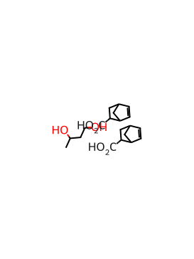 CC(O)CCO.O=C(O)C1CC2C=CC1C2.O=C(O)C1CC2C=CC1C2